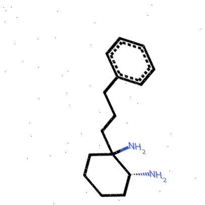 N[C@@H]1CCCCC1(N)CCCc1ccccc1